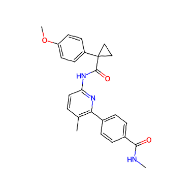 CNC(=O)c1ccc(-c2nc(NC(=O)C3(c4ccc(OC)cc4)CC3)ccc2C)cc1